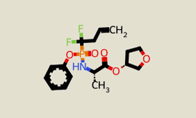 C=CCC(F)(F)P(=O)(N[C@@H](C)C(=O)O[C@@H]1CCOC1)Oc1ccccc1